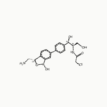 NC[C@H]1OB(O)c2cc(-c3ccc([C@@H](O)[C@@H](CO)NC(=O)CCl)cc3)ccc21